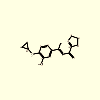 C=C(/C=C(\C)c1ccc(OC2CC2)c(Cl)c1)C1=NCCC1